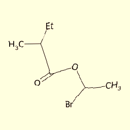 CCC(C)C(=O)OC(C)Br